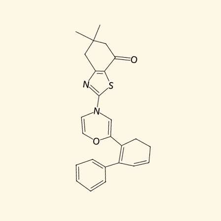 CC1(C)CC(=O)c2sc(N3C=COC(C4=C(c5ccccc5)C=CCC4)=C3)nc2C1